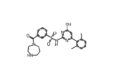 Cc1cccc(C)c1-c1cc(O)nc(NS(=O)(=O)c2cccc(C(=O)N3CCCNCC3)c2)n1